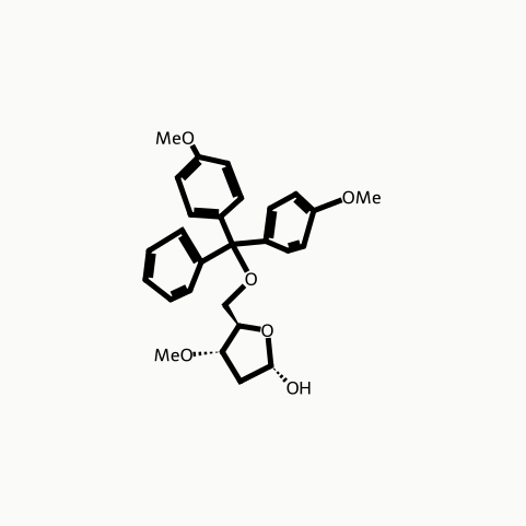 COc1ccc(C(OC[C@H]2O[C@H](O)C[C@@H]2OC)(c2ccccc2)c2ccc(OC)cc2)cc1